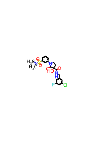 CN(C)S(=O)(=O)c1cccc(N2CCC(O)(C(=O)NCc3cc(F)cc(Cl)c3)C2=O)c1